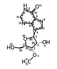 CO[C@H]1[C@@H](O)[C@H](n2cnc3c(=O)[nH]cnc32)O[C@@H]1CO